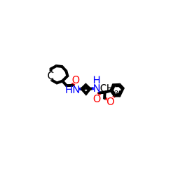 CC1(C(=O)NC23CC(NC(=O)CC4CCCCCCCC4)(C2)C3)COc2ccccc21